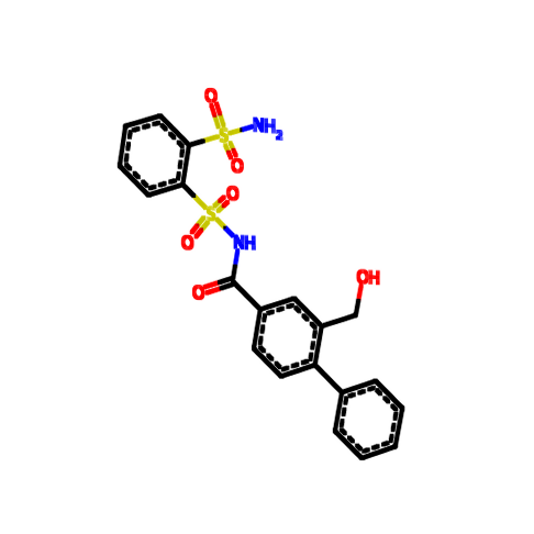 NS(=O)(=O)c1ccccc1S(=O)(=O)NC(=O)c1ccc(-c2ccccc2)c(CO)c1